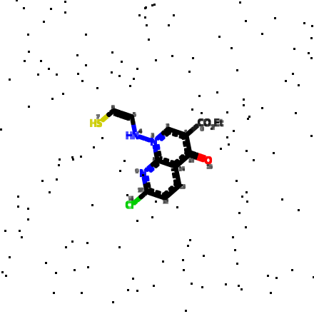 CCOC(=O)c1cn(N/C=C\S)c2nc(Cl)ccc2c1=O